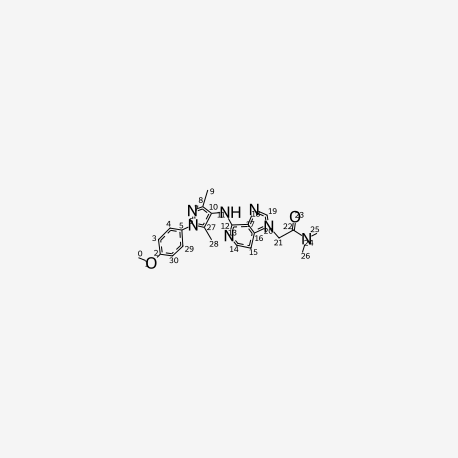 COc1ccc(-n2nc(C)c(Nc3nccc4c3ncn4CC(=O)N(C)C)c2C)cc1